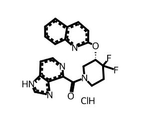 Cl.O=C(c1nccc2[nH]cnc12)N1CCC(F)(F)[C@@H](Oc2ccc3ccccc3n2)C1